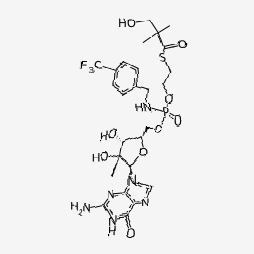 CC(C)(CO)C(=O)SCCOP(=O)(NCc1ccc(C(F)(F)F)cc1)OC[C@H]1O[C@@H](n2cnc3c(=O)[nH]c(N)nc32)[C@](C)(O)[C@@H]1O